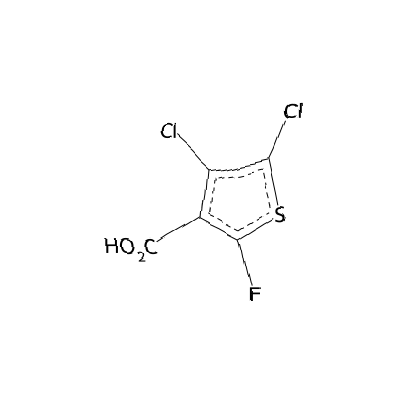 O=C(O)c1c(F)sc(Cl)c1Cl